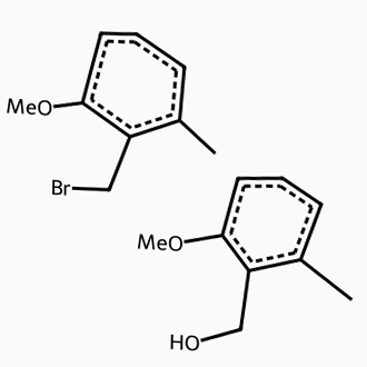 COc1cccc(C)c1CBr.COc1cccc(C)c1CO